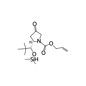 C=CCOC(=O)N1CC(=O)C[C@H]1C(O[SiH](C)C)C(C)(C)C